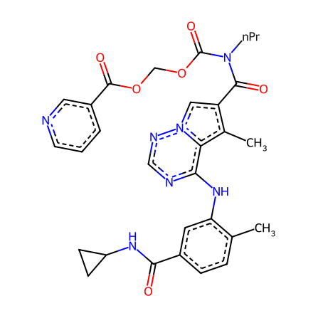 CCCN(C(=O)OCOC(=O)c1cccnc1)C(=O)c1cn2ncnc(Nc3cc(C(=O)NC4CC4)ccc3C)c2c1C